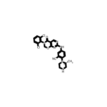 C[C@@H]1CNCCN1c1ccc(Nc2ncc3c(n2)OCN(c2c(Cl)cccc2Cl)C3=O)cc1C#N